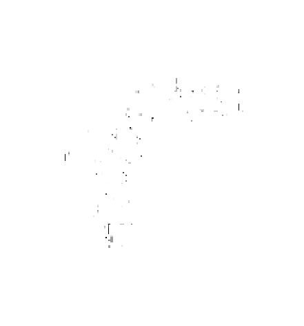 CC(C)c1cc(-c2ccc(N)c(F)c2)nc2cnc(N[C@H]3CC[C@H](NC(=O)OC(C)(C)C)CC3)nc12